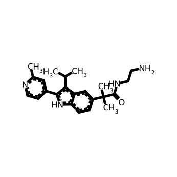 Cc1cc(-c2[nH]c3ccc(C(C)(C)C(=O)NCCN)cc3c2C(C)C)ccn1